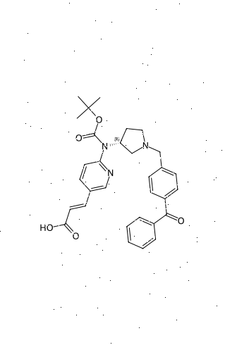 CC(C)(C)OC(=O)N(c1ccc(C=CC(=O)O)cn1)[C@@H]1CCN(Cc2ccc(C(=O)c3ccccc3)cc2)C1